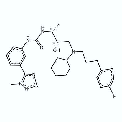 C[C@@H](NC(=O)Nc1cccc(-c2nnnn2C)c1)[C@@H](O)CN(CCCc1ccc(F)cc1)C1CCCCC1